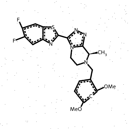 COc1ccc(CN2CCn3c(-c4nc5cc(F)c(F)cc5s4)nnc3[C@H]2C)c(OC)c1